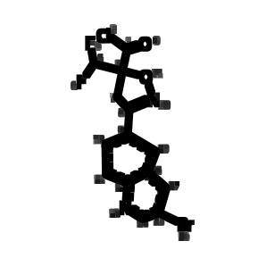 O=C(Cl)C1(C(F)F)CC(c2ccc3ncc(Br)cc3c2)=NO1